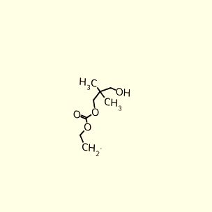 [CH2]COC(=O)OCC(C)(C)CO